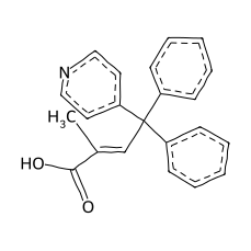 CC(=CC(c1ccccc1)(c1ccccc1)c1ccncc1)C(=O)O